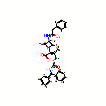 O=C(Cc1ccccc1)NC1C(=O)N2C(C(=O)O)=C(COC(=O)NC(c3ccccc3)c3ccccc3)CS[C@H]12